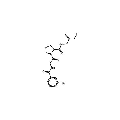 O=C(CF)CNC(=O)C1CCCN1C(=O)CNC(=O)c1cccc(Br)c1